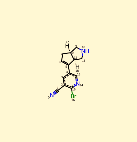 N#Cc1cc(C2=CC[C@H]3CNC[C@@H]23)cnc1Br